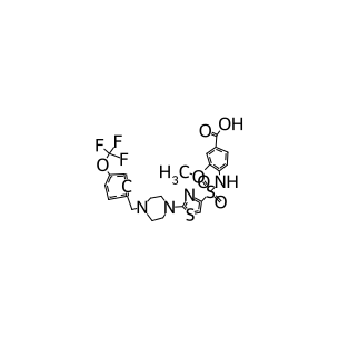 COc1cc(C(=O)O)ccc1NS(=O)(=O)c1csc(N2CCN(Cc3ccc(OC(F)(F)F)cc3)CC2)n1